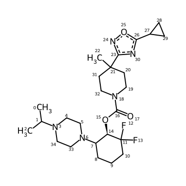 CC(C)N1CCN(C2CCCC(F)(F)[C@@H]2OC(=O)N2CCC(C)(c3noc(C4CC4)n3)CC2)CC1